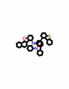 c1cc(-c2cccc3sc4ccccc4c23)cc(N(c2ccccc2-n2c3ccccc3c3ccccc32)c2cccc3oc4c5ccccc5ccc4c23)c1